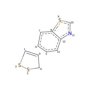 C1=CSSC1.c1ccc2scnc2c1